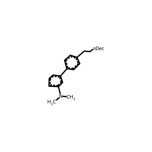 CCCCCCCCCCCCc1ccc(-c2[c]ccc(N(C)C)c2)cc1